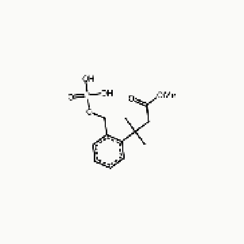 COC(=O)CC(C)(C)c1ccccc1COP(=O)(O)O